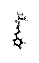 NC(=S)NN=CC=Cc1ccc(F)cc1